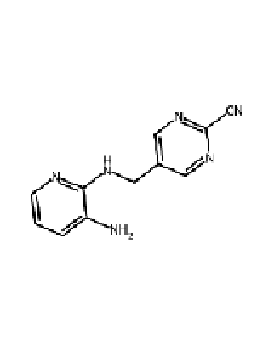 N#Cc1ncc(CNc2ncccc2N)cn1